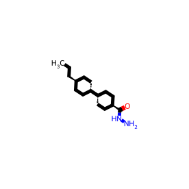 CCC[C@H]1CC[C@H]([C@H]2CC[C@H](C(=O)NN)CC2)CC1